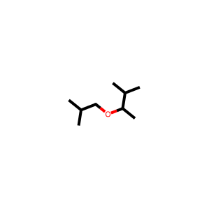 CC(C)COC(C)C(C)C